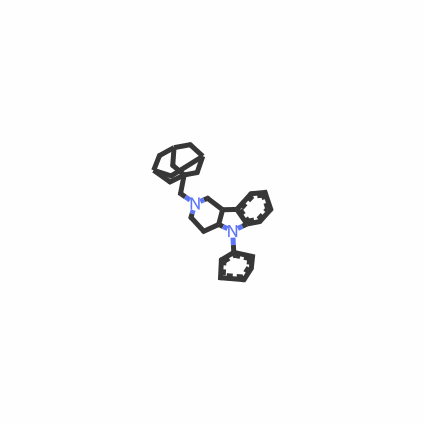 c1ccc(N2c3ccccc3C3CN(CC45CC6CC(CC(C6)C4)C5)CCC32)cc1